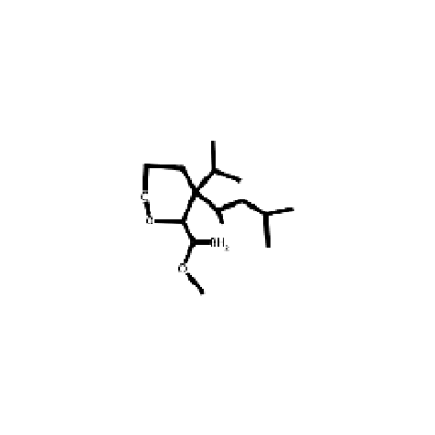 BC(OC)C1OCCCC1(C(C)C)C(C)CC(C)C